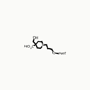 CCCC(C)OCCCN1CCC(CO)(C(=O)O)CC1